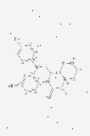 CC(C(=O)N1CCN(c2ccc(F)cc2)c2cc(F)ccc21)N1CCOCC1